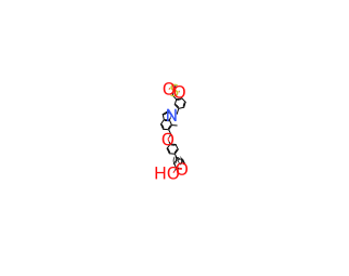 C=C[C@@H](CC(=O)O)c1ccc(OCc2ccc3ccn(Cc4cccc(CS(C)(=O)=O)c4)c3c2C)cc1